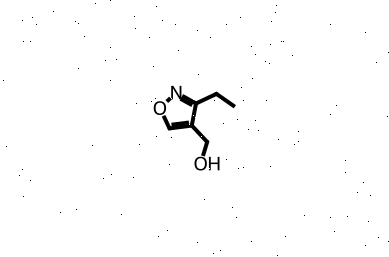 CCc1nocc1CO